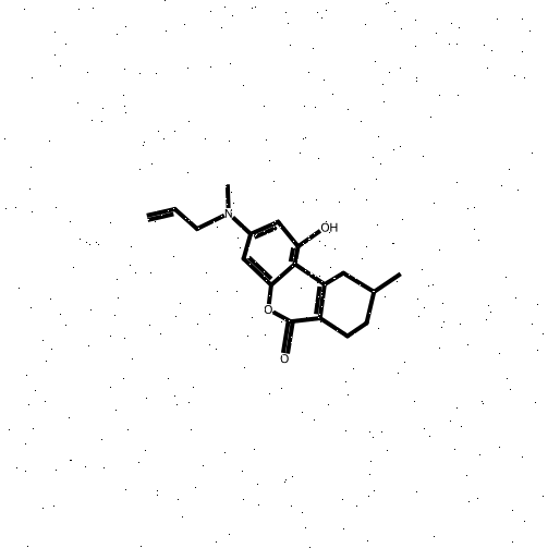 C=CCN(C)c1cc(O)c2c3c(c(=O)oc2c1)CCC(C)C3